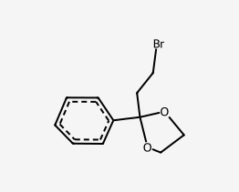 BrCCC1(c2ccccc2)OCCO1